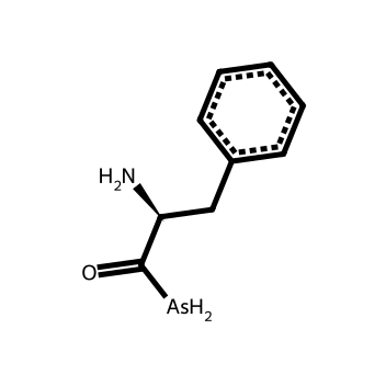 N[C@@H](Cc1ccccc1)C(=O)[AsH2]